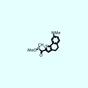 CNc1ccc2c(c1)-c1sc(C(=O)N(C)OC)cc1CC2